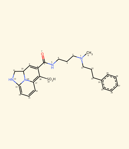 CN(CCCNC(=O)C1=CC2CNC3=CC=CC(=C1S(=O)(=O)O)N32)CCCc1ccccc1